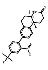 C[C@]12CCC(=O)N[C@@H]1CCc1cc(-c3ccc(C(F)(F)F)cc3[N+](=O)[O-])ccc12